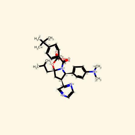 CC(C)C[C@]1(OC(=O)O)C[C@H](c2cnccn2)[C@H](c2ccc(N(C)C)cc2)N1C(=O)c1ccc(C(C)(C)C)cc1